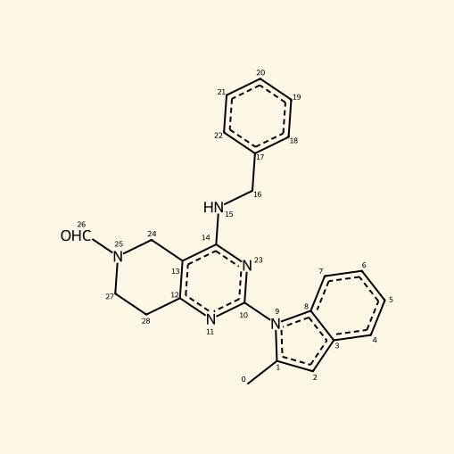 Cc1cc2ccccc2n1-c1nc2c(c(NCc3ccccc3)n1)CN(C=O)CC2